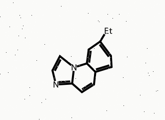 CCc1ccc2ccc3nccn3c2c1